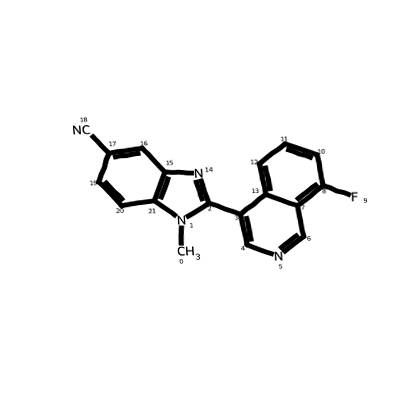 Cn1c(-c2cncc3c(F)cccc23)nc2cc(C#N)ccc21